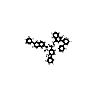 C=N/C(=N\C(=N/Cc1cc2c(oc3cccc(-c4ccccc4)c32)c2ccccc12)c1ccc2c(c1)oc1ccccc12)c1ccc2cc(-c3ccccc3)ccc2c1